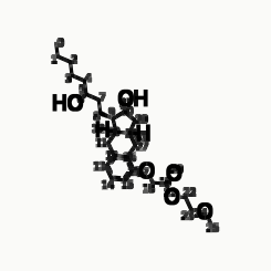 CCCCC[C@H](O)CC[C@@H]1[C@H]2Cc3cccc(OCC(=O)OCCOC)c3C[C@H]2C[C@H]1O